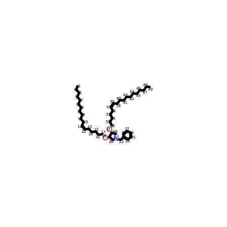 CCCCCCCCCCC/C=C\CCCCCO[C@@H]1CN(Cc2ccccc2)C[C@H]1OCCCCC/C=C\CCCCCCCCCCC